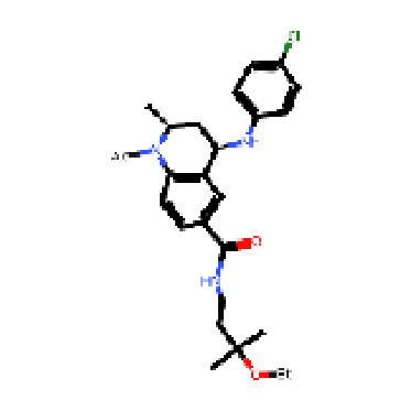 CCOC(C)(C)CCNC(=O)c1ccc2c(c1)[C@H](Nc1ccc(Cl)cc1)C[C@H](C)N2C(C)=O